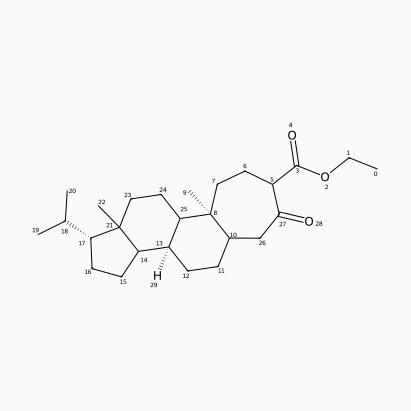 CCOC(=O)C1CC[C@@]2(C)C(CC[C@H]3C4CC[C@H](C(C)C)C4(C)CCC32)CC1=O